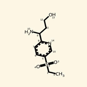 CCS(=O)(=O)c1ccc(C(N)CCO)nc1